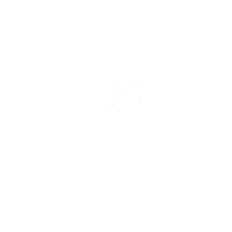 C/C=C/CCOc1cc(NC(=O)OCC)c([N+](=O)[O-])c(N)n1